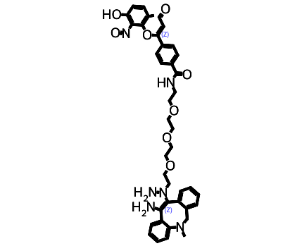 Cc1ccc(O)c(N=O)c1O/C(=C\C=O)c1ccc(C(=O)NCCOCCOCCOCCN(N)/C2=C(\N)c3ccccc3N(C)Cc3ccccc32)cc1